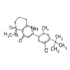 CN=[S@@]1(=O)CCCc2[nH]c(-c3cc(Cl)c(C(C)(C)C)cc3C)cc(=O)c21